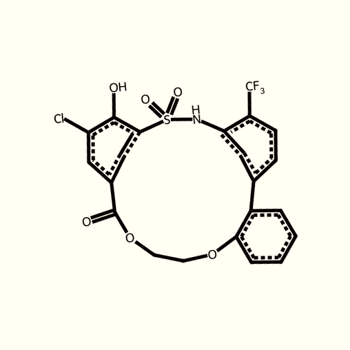 O=C1OCCOc2ccccc2-c2ccc(C(F)(F)F)c(c2)NS(=O)(=O)c2cc1cc(Cl)c2O